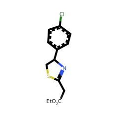 CCOC(=O)CC1=NC(c2ccc(Cl)cc2)CS1